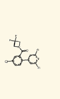 O=C(c1cc(Cl)ccc1-c1cc(Cl)nc(Cl)c1)N1CC(F)(F)C1